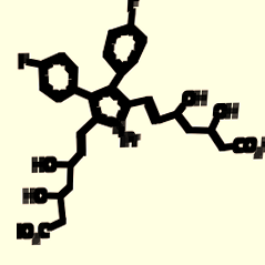 CC(C)n1c(C=CC(O)CC(O)CC(=O)O)c(-c2ccc(F)cc2)c(-c2ccc(F)cc2)c1C=CC(O)CC(O)CC(=O)O